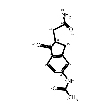 CC(=O)Nc1ccc2c(c1)CC(CC(N)=O)C2=O